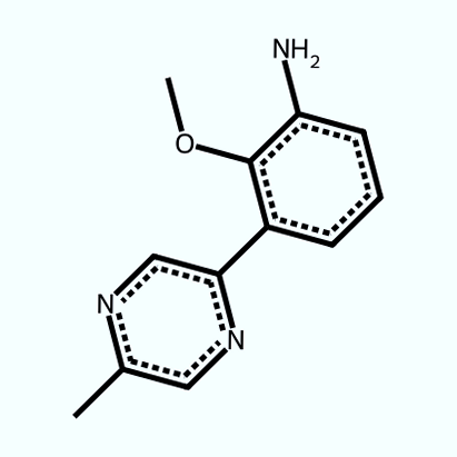 COc1c(N)cccc1-c1cnc(C)cn1